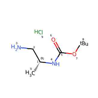 C[C@H](CN)NC(=O)OC(C)(C)C.Cl